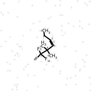 CC/C=C\C(C)(C)C(F)(F)F